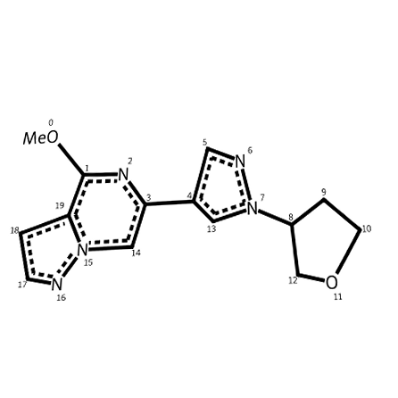 COc1nc(-c2cnn(C3CCOC3)c2)cn2nccc12